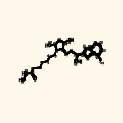 O=C(CCCCCC[C@@H]1C(CCC(O)c2cc3c(F)cccc3s2)[C@H](O)C[C@@H]1O)NO